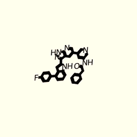 O=C(Cc1ccccc1)Nc1cncc(-c2cnc3[nH]nc(-c4cc5c(-c6ccc(F)cc6)cccc5[nH]4)c3c2)c1